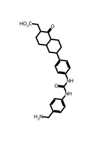 NCc1ccc(NC(=O)Nc2ccc(C3CCC4C(=O)C(CC(=O)O)CCC4C3)cc2)cc1